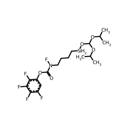 CC(C)OC(O[SiH2]CCCCN(F)C(=O)Oc1cc(F)c(F)c(F)c1F)OC(C)C